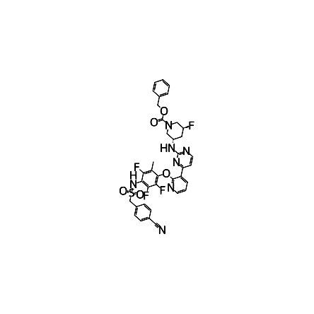 Cc1c(F)c(NS(=O)(=O)Cc2ccc(C#N)cc2)c(F)c(F)c1Oc1ncccc1-c1ccnc(N[C@H]2C[C@H](F)CN(C(=O)OCc3ccccc3)C2)n1